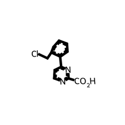 O=C(O)c1nccc(-c2ccccc2CCl)n1